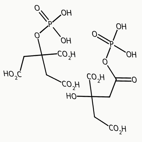 O=C(O)CC(CC(=O)O)(OP(=O)(O)O)C(=O)O.O=C(O)CC(O)(CC(=O)OP(=O)(O)O)C(=O)O